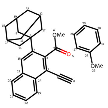 C#Cc1c(C(=O)OC)c(C23CC4CC(CC(C4)C2)C3)cc2ccccc12.COc1ccccc1